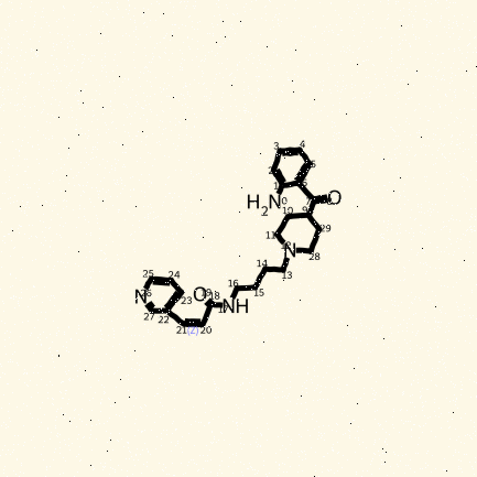 Nc1ccccc1C(=O)C1CCN(CCCCNC(=O)/C=C\c2cccnc2)CC1